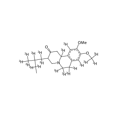 [2H]c1c(OC)c(OC([2H])([2H])[2H])c([2H])c2c1C1([2H])CC(=O)C(C([2H])([2H])C([2H])(C([2H])([2H])[2H])C([2H])([2H])C)CN1C([2H])([2H])C2([2H])[2H]